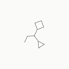 CC[C](C1CCC1)C1CC1